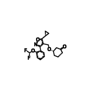 O=C1CCC[C@H](OCc2c(-c3ccccc3OC(F)F)noc2C2CC2)C1